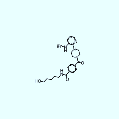 CC(C)Nc1cccnc1N1CCN(C(=O)c2ccc(C(=O)NCCCCCO)cc2)CC1